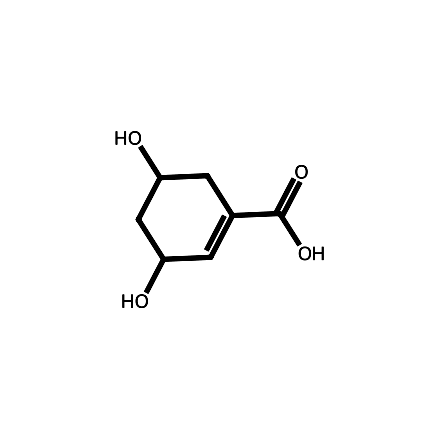 O=C(O)C1=CC(O)CC(O)C1